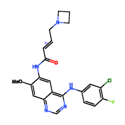 COc1cc2ncnc(Nc3ccc(F)c(Cl)c3)c2cc1NC(=O)/C=C/CN1CCC1